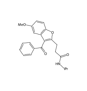 COc1ccc2oc(CCC(=O)NC(C)C)c(C(=O)c3ccccc3)c2c1